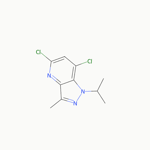 Cc1nn(C(C)C)c2c(Cl)cc(Cl)nc12